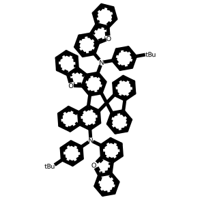 CC(C)(C)c1ccc(N(c2cc3c(c4ccccc24)-c2c(cc(N(c4ccc(C(C)(C)C)cc4)c4cccc5c4oc4ccccc45)c4c2oc2ccccc24)C32c3ccccc3-c3ccccc32)c2cccc3c2oc2ccccc23)cc1